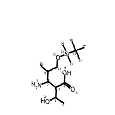 CC(O)C(C(=O)O)C(N)C(C)CO[Si](C)(C)C(C)(C)C